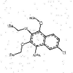 CCCCOc1c(OCC(C)(C)C)c(OCC(C)(C)C)c(OC(C)=O)c2cc(Cl)ccc12